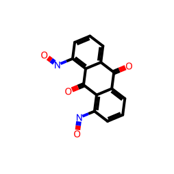 O=Nc1cccc2c1C(=O)c1c(N=O)cccc1C2=O